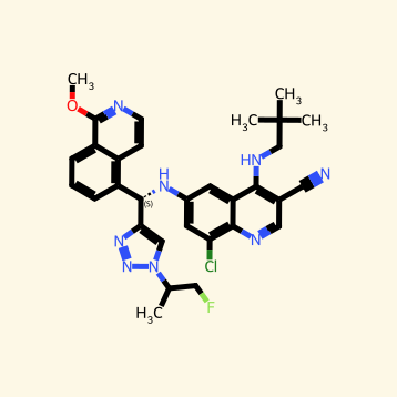 COc1nccc2c([C@H](Nc3cc(Cl)c4ncc(C#N)c(NCC(C)(C)C)c4c3)c3cn(C(C)CF)nn3)cccc12